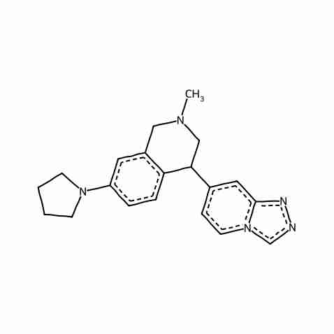 CN1Cc2cc(N3CCCC3)ccc2C(c2ccn3cnnc3c2)C1